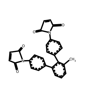 Cc1cccc(-c2ccc(N3C(=O)C=CC3=O)cc2)c1-c1ccc(N2C(=O)C=CC2=O)cc1